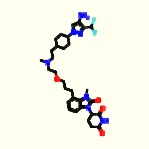 CN(CCOCCCc1cccc2c1n(C)c(=O)n2C1CCC(=O)NC1=O)CCC1CCC(n2cc(N)c(C(F)F)n2)CC1